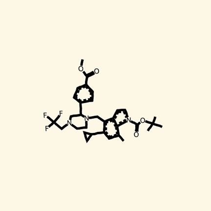 COC(=O)c1ccc(C2CN(CC(F)(F)F)CCN2Cc2c(C3CC3)cc(C)c3c2ccn3C(=O)OC(C)(C)C)cc1